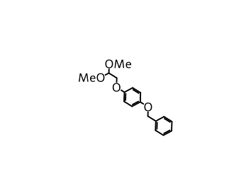 COC(COc1ccc(OCc2ccccc2)cc1)OC